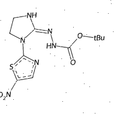 CC(C)(C)OC(=O)NN=C1NCCN1c1ncc([N+](=O)[O-])s1